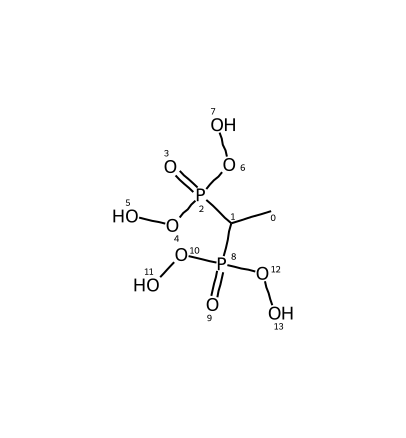 CC(P(=O)(OO)OO)P(=O)(OO)OO